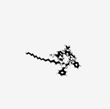 CCCCCCCCCCCCCCCCOC[C@@H](COP(=O)(OC[C@@]1(CC#N)O[C@@H](c2ccc3c(N)ncnn23)[C@@H]2OC(C)(C)O[C@@H]21)Oc1ccccc1Cl)OCc1ccccc1